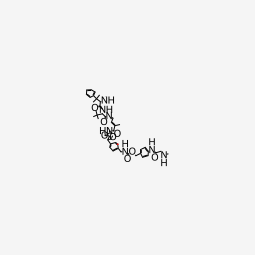 CNCC(=O)Nc1ccc(COC(=O)NCc2ccc(CS(=O)(=O)NC(=O)/C(C)=C/CN(C)C(=O)C(NC(=O)[C@@H](NC)C(C)(C)c3ccccc3)C(C)(C)C)cc2)cc1